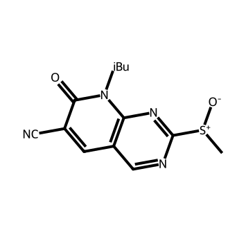 CCC(C)n1c(=O)c(C#N)cc2cnc([S+](C)[O-])nc21